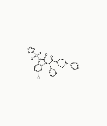 O=C(C(c1ccccc1)n1c(=O)n(S(=O)(=O)c2cccs2)c2ccc(Cl)cc21)N1CCN(c2ccncc2)CC1